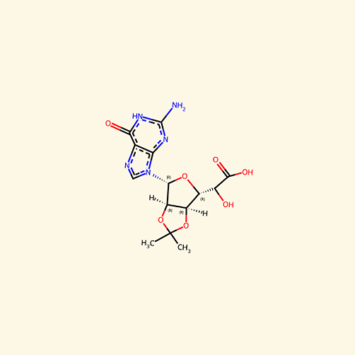 CC1(C)O[C@@H]2[C@H](O1)[C@@H](C(O)C(=O)O)O[C@H]2n1cnc2c(=O)[nH]c(N)nc21